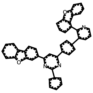 c1ccc(-c2nc(-c3ccc(-c4cccnc4-c4cccc5oc6ccccc6c45)cc3)cc(-c3ccc4c(c3)oc3ccccc34)n2)cc1